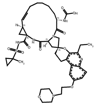 CCc1nc2ccc(OCCN3CCOCC3)cc2c2c1O[C@]1(CC2)C[C@H]2C(=O)N[C@]3(C(=O)NS(=O)(=O)C4(C)CC4)C[C@H]3C=CCCCCC[C@H](NC(=O)O)C(=O)N2C1